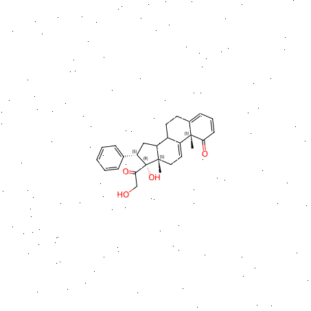 C[C@]12C(=O)C=CC=C1CCC1C2=CC[C@@]2(C)C1C[C@@H](c1ccccc1)[C@]2(O)C(=O)CO